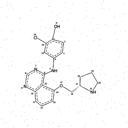 Oc1ccc(Nc2ncnc3cccc(OC[C@@H]4CCCN4)c23)cc1Cl